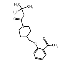 CC(=O)c1ccccc1OCC1CCN(C(=O)OC(C)(C)C)CC1